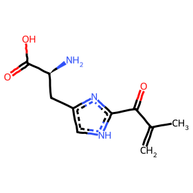 C=C(C)C(=O)c1nc(C[C@H](N)C(=O)O)c[nH]1